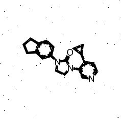 O=C1N(c2ccc3c(c2)CCC3)CCN1c1cnccc1C1CC1